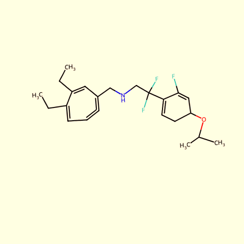 CCC1=CC=C=C(CNCC(F)(F)C2=CCC(OC(C)C)C=C2F)C=C1CC